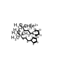 C[N+](C)(C)CCCC1C=CC=C1.C[N+](C)(C)CCC[c-]1cccc1.[Fe+2]